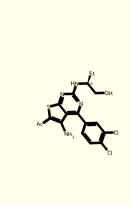 CC[C@@H](CO)Nc1nc(-c2ccc(Cl)c(Cl)c2)c2c(N)c(C(C)=O)sc2n1